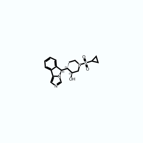 O=S(=O)(C1CC1)N1CC[C@@H]([C@@H]2c3ccccc3-c3cncn32)[C@H](O)C1